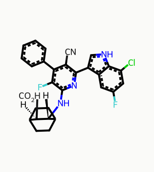 N#Cc1c(-c2c[nH]c3c(Cl)cc(F)cc23)nc(N[C@@H]2C3CCC(CC3)[C@H]2C(=O)O)c(F)c1-c1ccccc1